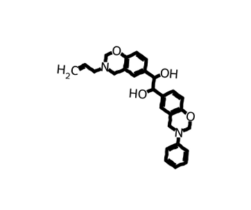 C=CCN1COc2ccc(C(O)C(O)c3ccc4c(c3)CN(c3ccccc3)CO4)cc2C1